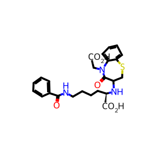 O=C(O)CN1C(=O)C(N[C@H](CCCCNC(=O)c2ccccc2)C(=O)O)CSc2ccccc21